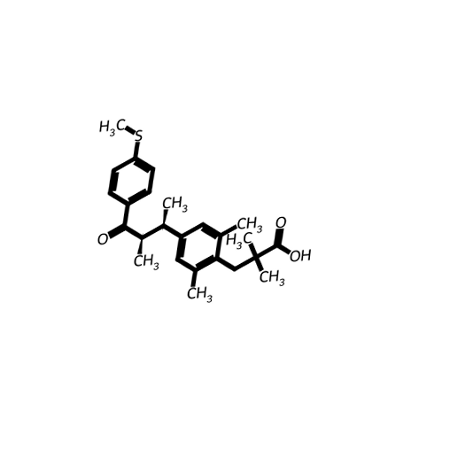 CSc1ccc(C(=O)[C@H](C)[C@@H](C)c2cc(C)c(CC(C)(C)C(=O)O)c(C)c2)cc1